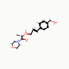 C[C@@H](OC/C=C/c1ccc(CO)cc1)C(=O)N1CCOCC1